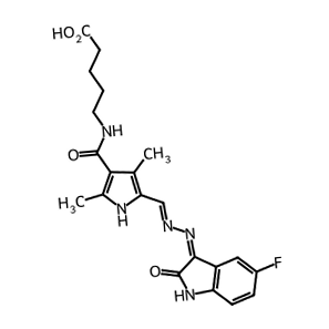 Cc1[nH]c(C=NN=C2C(=O)Nc3ccc(F)cc32)c(C)c1C(=O)NCCCCC(=O)O